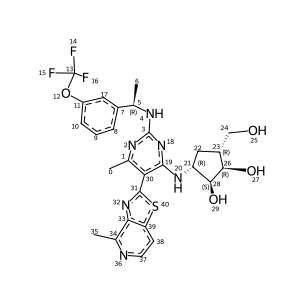 Cc1nc(N[C@H](C)c2cccc(OC(F)(F)F)c2)nc(N[C@@H]2C[C@H](CO)[C@@H](O)[C@H]2O)c1-c1nc2c(C)nccc2s1